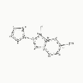 Cn1c(-c2cccs2)cc2ccc(F)cc21